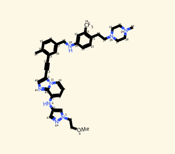 COCCn1cc(Nc2cccn3c(C#Cc4cc(CNc5ccc(CCN6CCN(C)CC6)c(C(F)(F)F)c5)ccc4C)cnc23)cn1